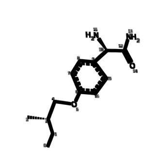 CC[C@H](C)COc1ccc([C@@H](N)C(N)=O)cc1